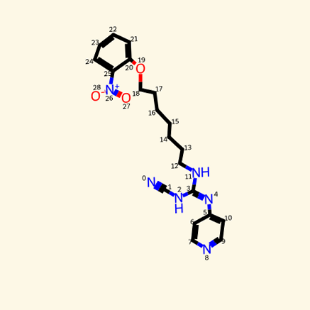 N#CN/C(=N\c1ccncc1)NCCCCCCCOc1ccccc1[N+](=O)[O-]